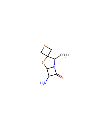 NC1C(=O)N2C1SC1(CSC1)C2C(=O)O